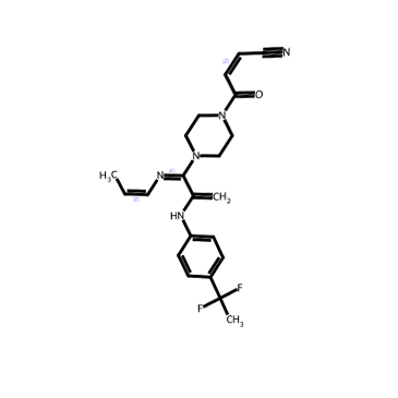 C=C(Nc1ccc(C(C)(F)F)cc1)/C(=N\C=C/C)N1CCN(C(=O)/C=C\C#N)CC1